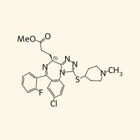 COC(=O)CC[C@@H]1N=C(c2ccccc2F)c2cc(Cl)ccc2-n2c(SC3CCN(C)CC3)nnc21